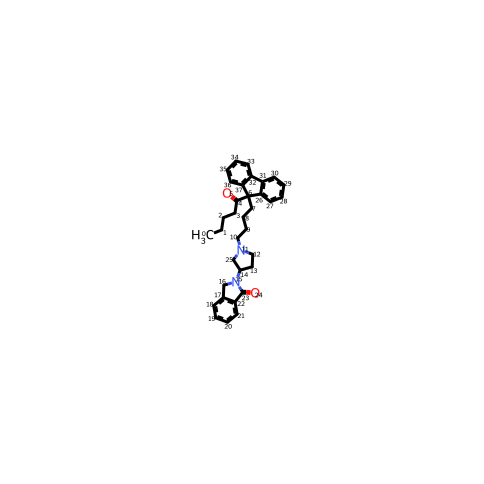 CCCCC(=O)C1(CCCCN2CCC(N3Cc4ccccc4C3=O)C2)c2ccccc2-c2ccccc21